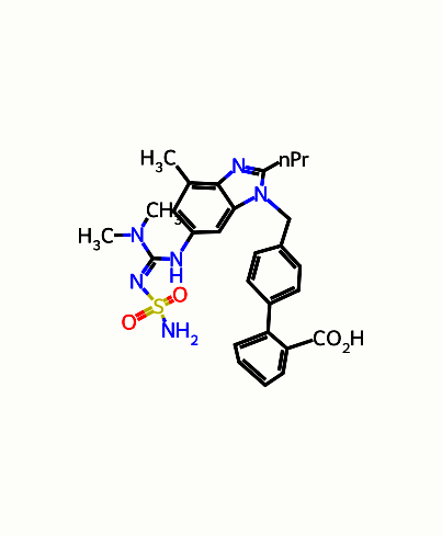 CCCc1nc2c(C)cc(N/C(=N\S(N)(=O)=O)N(C)C)cc2n1Cc1ccc(-c2ccccc2C(=O)O)cc1